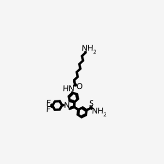 NCCCCCCCCC(=O)Nc1ccc2c(-c3cccc(C(N)=S)c3)cn(C3CCC(F)(F)CC3)c2c1